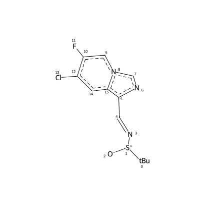 CC(C)(C)[S+]([O-])N=Cc1ncn2cc(F)c(Cl)cc12